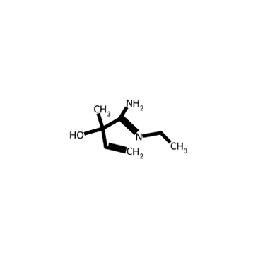 C=CC(C)(O)C(N)=NCC